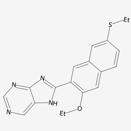 CCOc1cc2ccc(SCC)cc2cc1-c1nc2ncncc2[nH]1